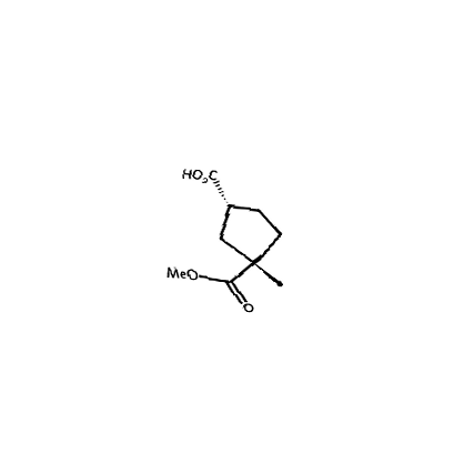 COC(=O)[C@@]1(C)CC[C@@H](C(=O)O)C1